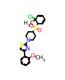 COc1ccccc1-c1csc(N2CCC(S(=O)(=O)C3C=CC=CC3(C)Cl)CC2)n1